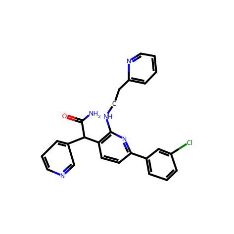 NC(=O)C(c1cccnc1)c1ccc(-c2cccc(Cl)c2)nc1NCCc1ccccn1